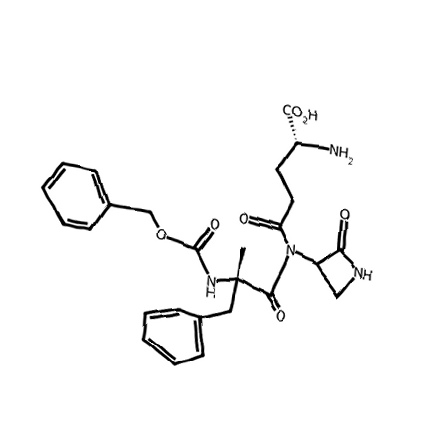 C[C@@](Cc1ccccc1)(NC(=O)OCc1ccccc1)C(=O)N(C(=O)CC[C@@H](N)C(=O)O)C1CNC1=O